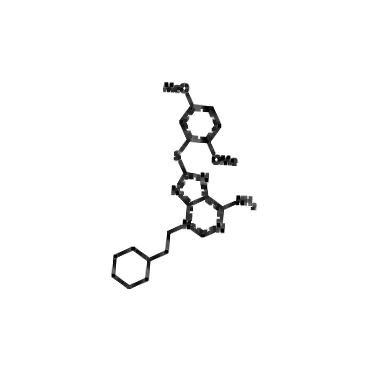 COc1ccc(OC)c(Sc2nc3c(N)ncn(CCC4CCCCC4)c-3n2)c1